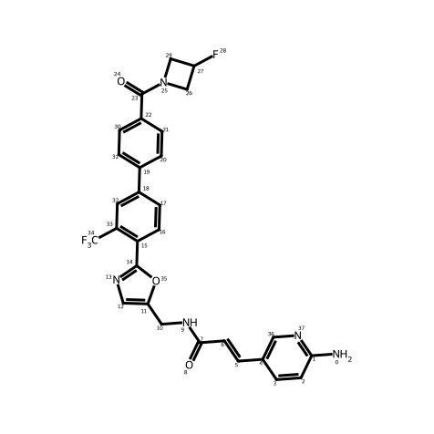 Nc1ccc(C=CC(=O)NCc2cnc(-c3ccc(-c4ccc(C(=O)N5CC(F)C5)cc4)cc3C(F)(F)F)o2)cn1